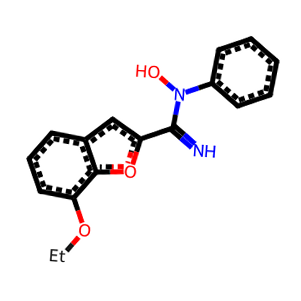 CCOc1cccc2cc(C(=N)N(O)c3ccccc3)oc12